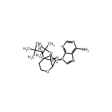 CC(C)(C)C[C@@]12CCOC([C@H](n3cnc4c(N)ncnc43)O1)[C@H]2OC(C)(C)C